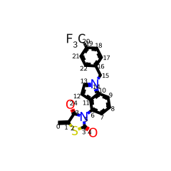 C=C1SC(=O)N(c2cccc3c2ccn3Cc2ccc(C(F)(F)F)cc2)C1=O